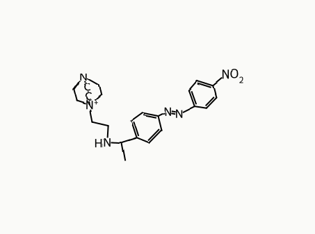 CC(NCC[N+]12CCN(CC1)CC2)c1ccc(N=Nc2ccc([N+](=O)[O-])cc2)cc1